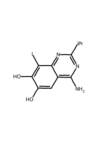 CC(C)c1nc(N)c2cc(O)c(O)c(I)c2n1